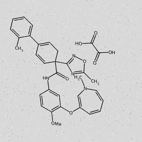 COc1ccc(NC(=O)C2(c3noc(C)n3)C=CC(c3ccccc3C)=CC2)cc1OC1=CN(C)C=CC=C1.O=C(O)C(=O)O